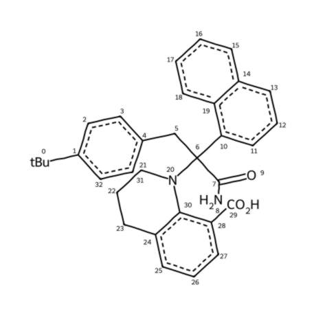 CC(C)(C)c1ccc(CC(C(N)=O)(c2cccc3ccccc23)N2CCCc3cccc(C(=O)O)c32)cc1